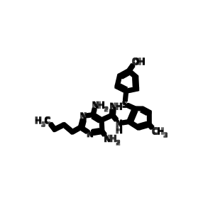 CCCCc1nc(N)c(C(=N)Nc2cc(C)ccc2Sc2ccc(O)cc2)c(N)n1